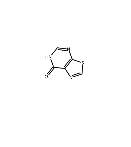 O=c1[nH]cnc2scnc12